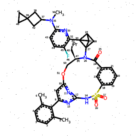 Cc1cccc(C)c1-c1cc2nc(n1)NS(=O)(=O)c1cccc(c1)C(=O)N(C13CC(C1)C3c1nc(N(C)C3CC4(CC4)C3)ccc1F)[C@H](CC(C)C)CO2